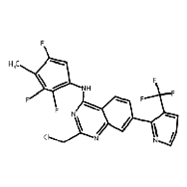 Cc1c(F)cc(Nc2nc(CCl)nc3cc(-c4ncccc4C(F)(F)F)ccc23)c(F)c1F